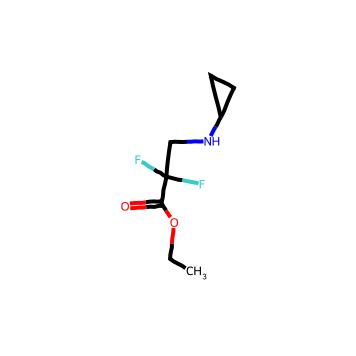 CCOC(=O)C(F)(F)CNC1CC1